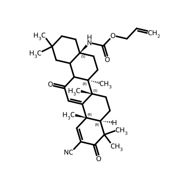 C=CCOC(=O)N[C@]12CCC(C)(C)CC1C1C(=O)C=C3[C@@]4(C)C=C(C#N)C(=O)C(C)(C)[C@@H]4CC[C@@]3(C)[C@]1(C)CC2